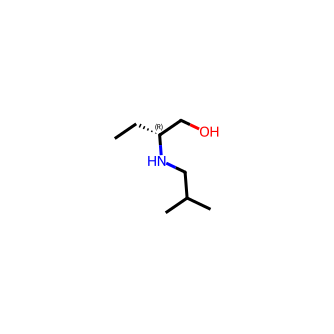 CC[C@H](CO)NCC(C)C